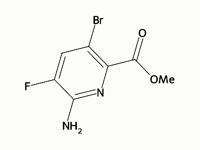 COC(=O)c1nc(N)c(F)cc1Br